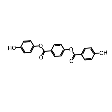 O=C(Oc1ccc(C(=O)Oc2ccc(O)cc2)cc1)c1ccc(O)cc1